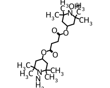 CC1(C)CC(OC(=O)CCC(=O)OC2CC(C)(C)N(O)C(C)(C)C2)CC(C)(C)N1N